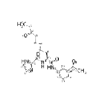 CCC(=O)CCCCC[C@H](NC(=O)c1ncc[nH]1)C(=O)Nc1cccc(C(C)=O)c1